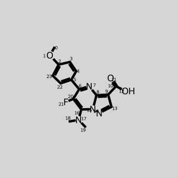 COc1ccc(-c2nc3c(C(=O)O)cnn3c(N(C)C)c2F)cc1